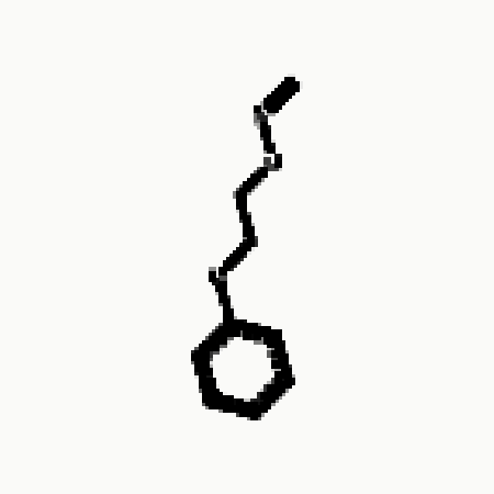 C=NOCCOc1ccccc1